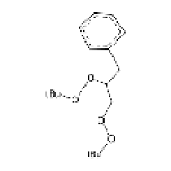 CC(C)(C)OOCC(Cc1ccccc1)OOC(C)(C)C